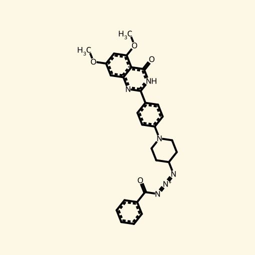 COc1cc(OC)c2c(=O)[nH]c(-c3ccc(N4CCC(N=[N+]=NC(=O)c5ccccc5)CC4)cc3)nc2c1